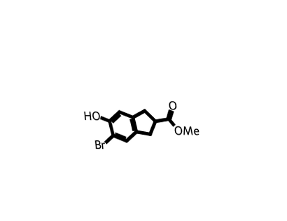 COC(=O)C1Cc2cc(O)c(Br)cc2C1